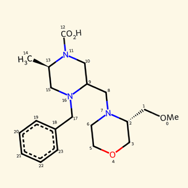 COC[C@@H]1COCCN1CC1CN(C(=O)O)[C@H](C)CN1Cc1ccccc1